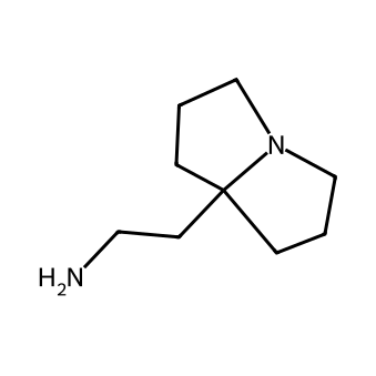 NCCC12CCCN1CCC2